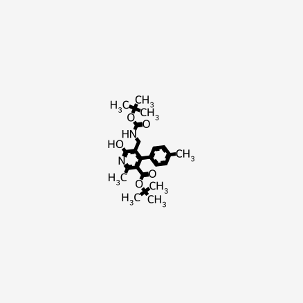 Cc1ccc(-c2c(CNC(=O)OC(C)(C)C)c(O)nc(C)c2C(=O)OC(C)(C)C)cc1